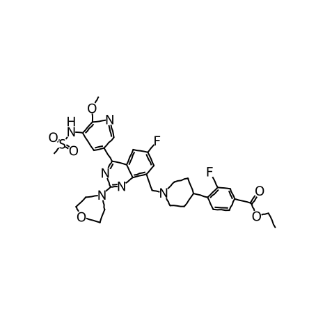 CCOC(=O)c1ccc(C2CCN(Cc3cc(F)cc4c(-c5cnc(OC)c(NS(C)(=O)=O)c5)nc(N5CCOCC5)nc34)CC2)c(F)c1